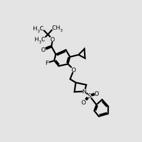 CC(C)(C)OC(=O)c1cc(C2CC2)c(OCC2CN(S(=O)(=O)c3ccccc3)C2)cc1F